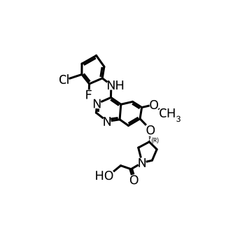 COc1cc2c(Nc3cccc(Cl)c3F)ncnc2cc1O[C@@H]1CCN(C(=O)CO)C1